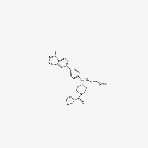 COCCOC(c1ccc(-c2ccc3c(C)nccc3c2)cc1)C1CCN(C(=O)C2CCCO2)CC1